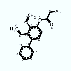 C=Cc1c(OC(=O)CC(C)=O)ccc(-c2ccccc2)c1C=C